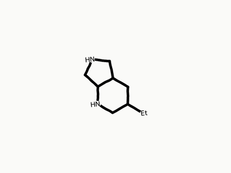 CCC1CNC2CNCC2C1